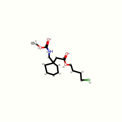 CC(C)(C)OC(=O)NCC1(CC(=O)OCCCCBr)CCCCC1